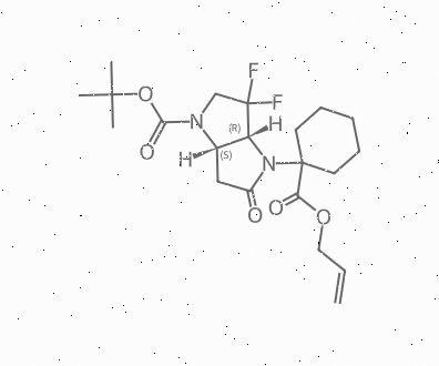 C=CCOC(=O)C1(N2C(=O)C[C@H]3[C@@H]2C(F)(F)CN3C(=O)OC(C)(C)C)CCCCC1